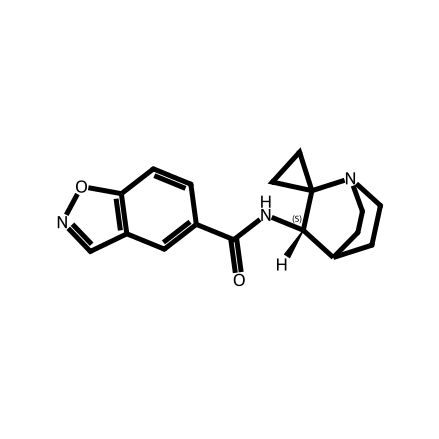 O=C(N[C@H]1C2CCN(CC2)C12CC2)c1ccc2oncc2c1